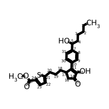 CCCCCC(O)c1ccc(C2=C(O)C(=O)CC2CCCc2ccc(C(=O)OC)s2)cc1